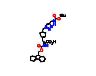 CC(C)(C)OC(=O)NCc1cn(Cc2ccc(C[C@H](NC(=O)OCC3c4ccccc4-c4ccccc43)C(=O)O)cc2)nn1